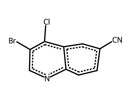 N#Cc1ccc2ncc(Br)c(Cl)c2c1